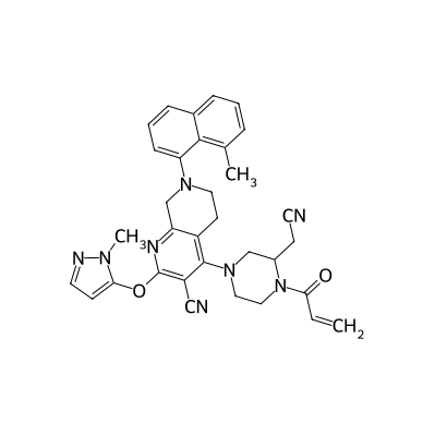 C=CC(=O)N1CCN(c2c(C#N)c(Oc3ccnn3C)nc3c2CCN(c2cccc4cccc(C)c24)C3)CC1CC#N